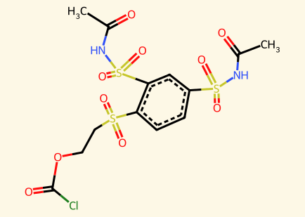 CC(=O)NS(=O)(=O)c1ccc(S(=O)(=O)CCOC(=O)Cl)c(S(=O)(=O)NC(C)=O)c1